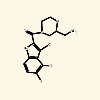 NCC1CN(C(=O)c2[nH]c3ccc(F)c(Cl)c3c2Cl)CCO1